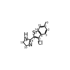 Cc1ccc2c(Cl)c(C3=NCCN3)sc2c1